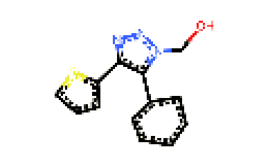 OCn1nnc(-c2cccs2)c1-c1ccccc1